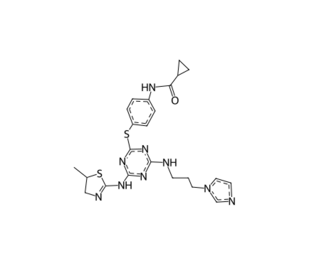 CC1CN=C(Nc2nc(NCCCn3ccnc3)nc(Sc3ccc(NC(=O)C4CC4)cc3)n2)S1